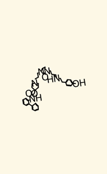 O=C(Nc1ccccc1-c1ccccc1)OC1CCN(CCCN2CCN(CCCNCCc3ccc(O)cc3)C2=O)CC1